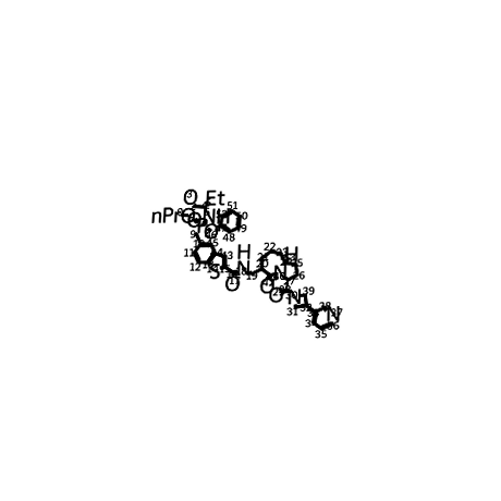 CCCOC(=O)[C@H](CC)NP(=O)(Cc1ccc2sc(C(=O)NCC3CCC[C@H]4CC[C@@H](C(=O)N5CC(c6cccnc6)C5)N4C3=O)cc2c1)Oc1ccccc1